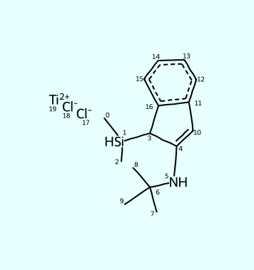 C[SiH](C)C1C(NC(C)(C)C)=Cc2ccccc21.[Cl-].[Cl-].[Ti+2]